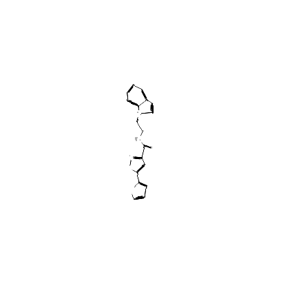 O=C(NCCn1ccc2ccccc21)c1cc(-c2ccco2)on1